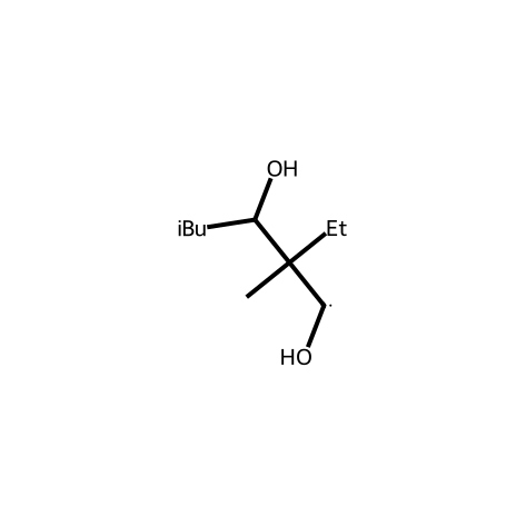 CCC(C)C(O)C(C)([CH]O)CC